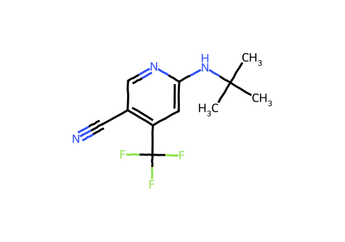 CC(C)(C)Nc1cc(C(F)(F)F)c(C#N)cn1